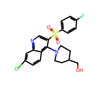 O=S(=O)(c1ccc(F)cc1)c1cnc2cc(Cl)ccc2c1N1CCC(CO)CC1